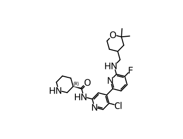 CC1(C)CC(CNc2nc(-c3cc(NC(=O)[C@@H]4CCCNC4)ncc3Cl)ccc2F)CCO1